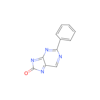 O=C1N=c2cnc(-c3ccccc3)nc2=N1